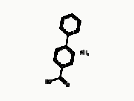 O=C(O)c1ccc(-c2ccccc2)cc1.[AlH3]